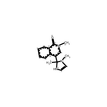 CN1C=CNC1(C)c1cn(C)c(=O)c2ccccc12